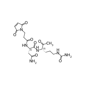 CC(=O)[C@H](CCCNC(N)=O)NC(=O)[C@H](CC(N)=O)NC(=O)CCN1C(=O)C=CC1=O